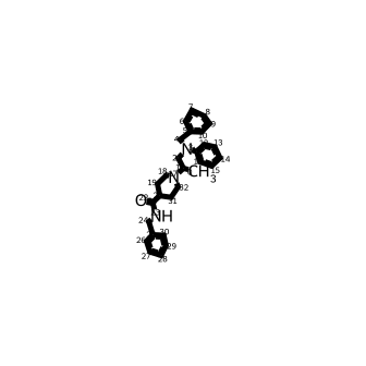 CC(CN(Cc1ccccc1)c1ccccc1)N1CCC(C(=O)NCc2ccccc2)CC1